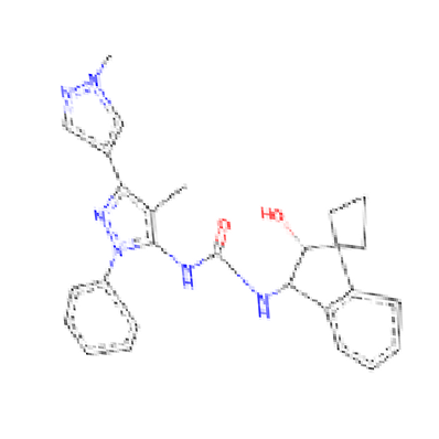 Cc1c(-c2cnn(C)c2)nn(-c2ccccc2)c1NC(=O)NC1c2ccccc2C2(CCC2)[C@H]1O